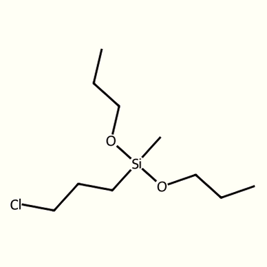 CCCO[Si](C)(CCCCl)OCCC